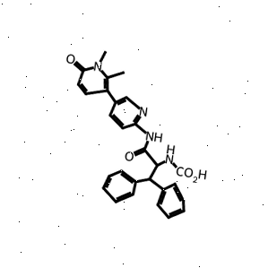 Cc1c(-c2ccc(NC(=O)C(NC(=O)O)C(c3ccccc3)c3ccccc3)nc2)ccc(=O)n1C